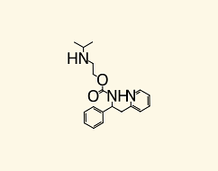 CC(C)NCCOC(=O)NC(Cc1ccccn1)c1ccccc1